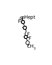 CCCCCCCOc1ccc(-c2ccc(CCc3ccc(C4CCC(C)CC4)c(F)c3F)cc2)cc1F